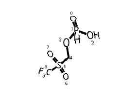 O=[PH](O)OCS(=O)(=O)C(F)(F)F